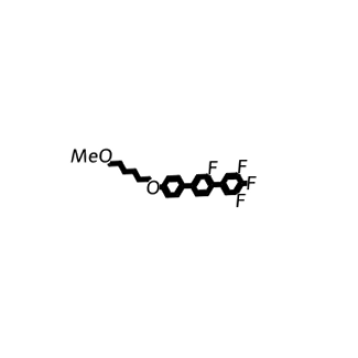 COCCCCCCOc1ccc(-c2ccc(-c3cc(F)c(F)c(F)c3)c(F)c2)cc1